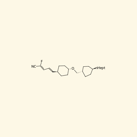 CCCCCCC[C@H]1CC[C@H](CO[C@H]2CC[C@H](C=CC=C(F)C#N)CC2)CC1